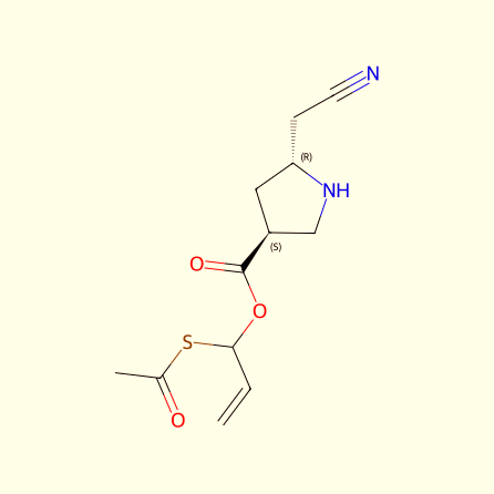 C=CC(OC(=O)[C@@H]1CN[C@@H](CC#N)C1)SC(C)=O